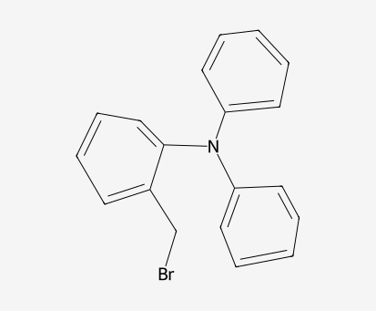 BrCc1ccccc1N(c1ccccc1)c1ccccc1